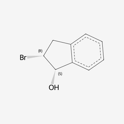 O[C@H]1c2ccccc2C[C@H]1Br